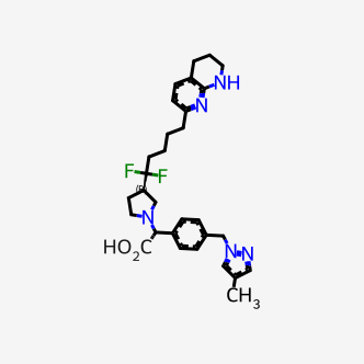 Cc1cnn(Cc2ccc(C(C(=O)O)N3CC[C@@H](C(F)(F)CCCCc4ccc5c(n4)NCCC5)C3)cc2)c1